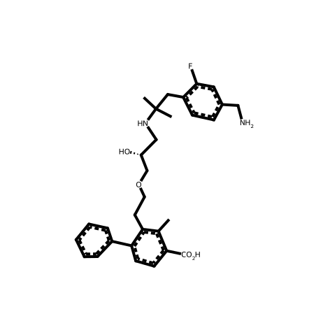 Cc1c(C(=O)O)ccc(-c2ccccc2)c1CCOC[C@H](O)CNC(C)(C)Cc1ccc(CN)cc1F